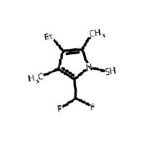 CCc1c(C)c(C(F)F)n(S)c1C